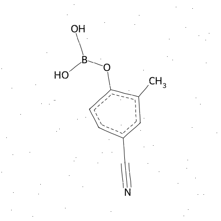 Cc1cc(C#N)ccc1OB(O)O